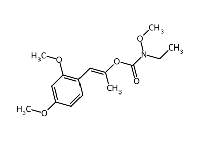 CCN(OC)C(=O)O/C(C)=C/c1ccc(OC)cc1OC